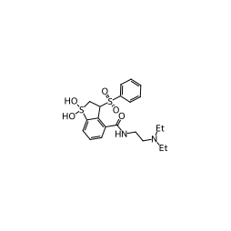 CCN(CC)CCNC(=O)c1cccc2c1C(S(=O)(=O)c1ccccc1)CS2(O)O